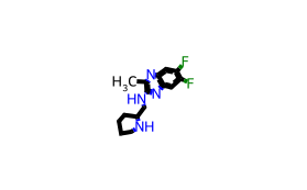 Cc1nc2cc(F)c(F)cc2nc1NCC1CCCCN1